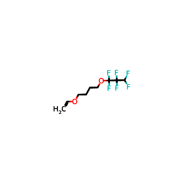 C=COCCCCOC(F)(F)C(F)(F)C(F)F